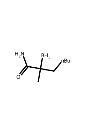 BC(C)(CCCCC)C(N)=O